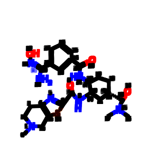 CN1CCc2nc(C(=O)N[C@@H]3C[C@@H](C(=O)N(C)C)CC[C@@H]3NC(=O)c3cccc(/C(N)=N\O)c3)sc2C1